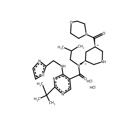 CC(C)CN(C(=O)c1cnc(C(C)(C)C)nc1NCc1ncco1)[C@@H]1CNC[C@H](C(=O)N2CCOCC2)C1.Cl.Cl